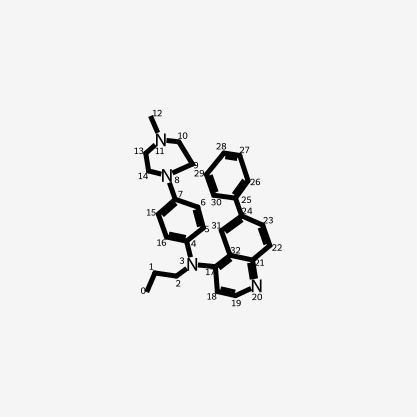 CCCN(c1ccc(N2CCN(C)CC2)cc1)c1ccnc2ccc(-c3ccccc3)cc12